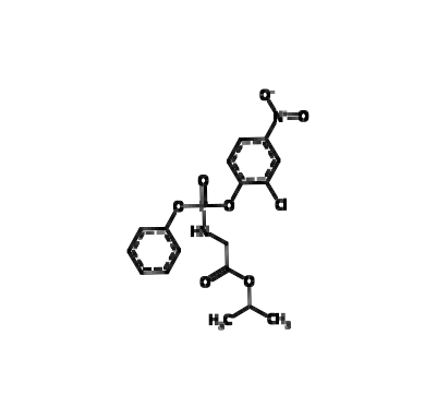 CC(C)OC(=O)CNP(=O)(Oc1ccccc1)Oc1ccc([N+](=O)[O-])cc1Cl